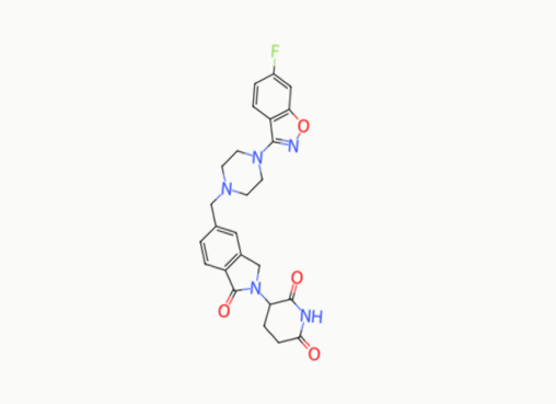 O=C1CCC(N2Cc3cc(CN4CCN(c5noc6cc(F)ccc56)CC4)ccc3C2=O)C(=O)N1